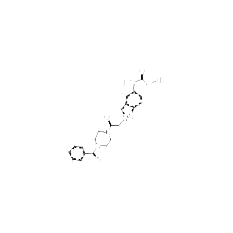 CC(C)(C)OC(=O)Nc1ccc2nn(CC(=O)N3CCN(C(=O)c4ccccc4)CC3)cc2c1